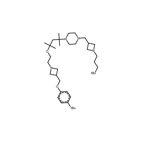 CC(C)(C)CCCN1CC(CN2CCN(C(C)(C)CC(C)(C)OCCN3CC(COc4ccc(C(C)(C)C)cc4)C3)CC2)C1